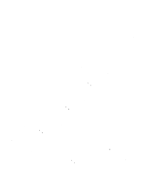 CC(C(=O)O)C1CN(c2nc(N3CCC3C)c(C#N)c3c2CCC3(F)F)C1